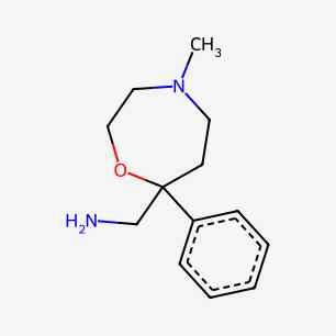 CN1CCOC(CN)(c2ccccc2)CC1